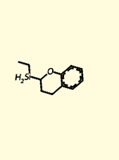 CC[SiH2]C1CCc2ccccc2O1